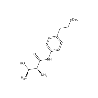 CCCCCCCCCCCCc1ccc(NC(=O)[C@@H](N)[C@@H](C)O)cc1